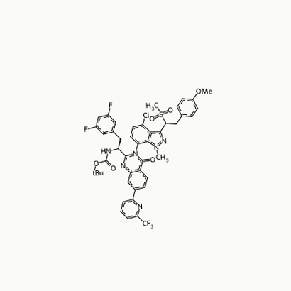 COc1ccc(CC(c2nn(C)c3c(-n4c([C@H](Cc5cc(F)cc(F)c5)NC(=O)OC(C)(C)C)nc5cc(-c6cccc(C(F)(F)F)n6)ccc5c4=O)ccc(Cl)c23)S(C)(=O)=O)cc1